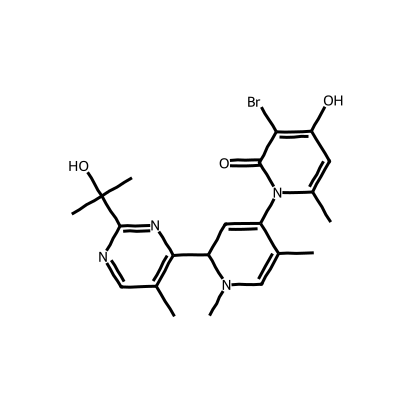 CC1=CN(C)C(c2nc(C(C)(C)O)ncc2C)C=C1n1c(C)cc(O)c(Br)c1=O